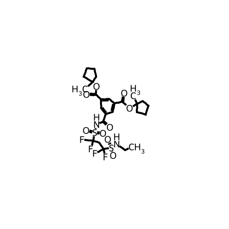 CCNS(=O)(=O)C(F)(F)CC(F)(F)S(=O)(=O)NC(=O)c1cc(C(=O)OC2(C)CCCC2)cc(C(=O)OC2(C)CCCC2)c1